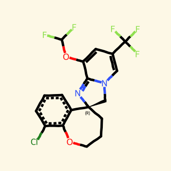 FC(F)OC1=CC(C(F)(F)F)=CN2C[C@]3(CCCOc4c(Cl)cccc43)N=C12